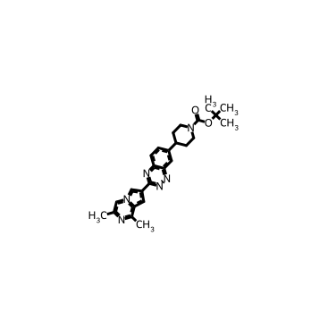 Cc1cn2cc(-c3nnc4cc(C5CCN(C(=O)OC(C)(C)C)CC5)ccc4n3)cc2c(C)n1